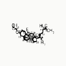 COCO[C@H]1CC[C@@]2(CF)C(=CC[C@@H]3[C@@H]2CC[C@]2(C)[C@@H]([C@H](C)CCCC(C)C)CC[C@@H]32)C1